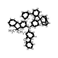 CC1(C)c2ccccc2-c2ccc(N(c3ccc4c(c3)-c3c(-c5ccccc5)cccc3C43C4CC5CC(C4)CC3C5)c3ccc4c(c3)oc3ccccc34)cc21